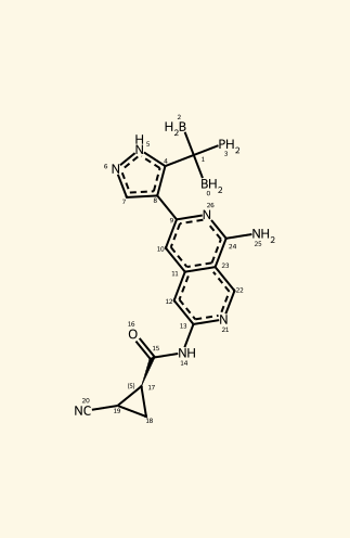 BC(B)(P)c1[nH]ncc1-c1cc2cc(NC(=O)[C@H]3CC3C#N)ncc2c(N)n1